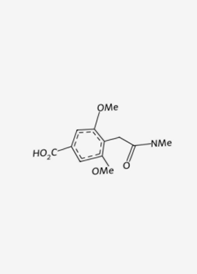 CNC(=O)Cc1c(OC)cc(C(=O)O)cc1OC